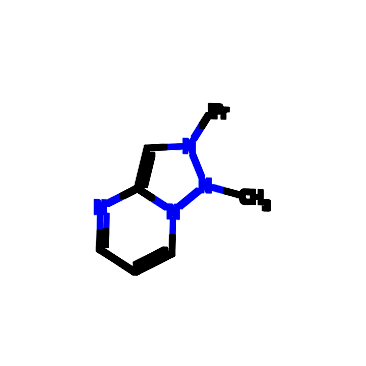 CC(C)N1C=C2N=CC=CN2N1C